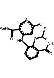 CNC(=O)c1cnc(Cl)cc1Nc1cccc(C(N)=O)c1OC(F)F